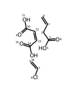 C=CCC(=O)O.C=CCl.O=C(O)/C=C\C(=O)O